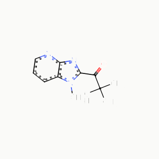 Cn1c(C(=O)C(C)(C)C)nc2ncccc21